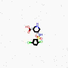 O=C(O)[C@@H]1CNC[C@H](NS(=O)(=O)c2cc(Cl)ccc2Cl)C1